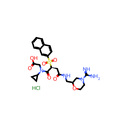 Cl.N=C(N)N1CCOC(CNC(=O)C[C@@H](C(=O)N(CC(=O)O)C2CC2)S(=O)(=O)c2ccc3ccccc3c2)C1